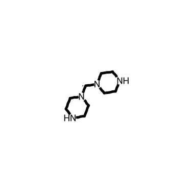 [CH](N1CCNCC1)N1CCNCC1